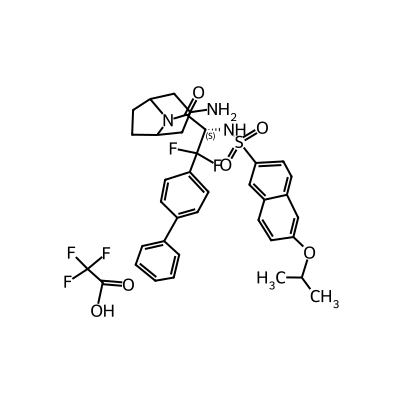 CC(C)Oc1ccc2cc(S(=O)(=O)N[C@@H](C(=O)N3C4CCC3CC(N)C4)C(F)(F)c3ccc(-c4ccccc4)cc3)ccc2c1.O=C(O)C(F)(F)F